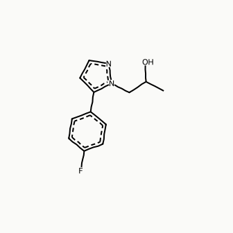 CC(O)Cn1nccc1-c1ccc(F)cc1